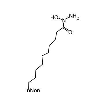 CCCCCCCCCCCCCCCCCCC(=O)N(N)O